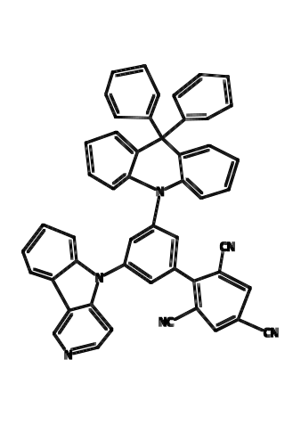 N#Cc1cc(C#N)c(-c2cc(N3c4ccccc4C(c4ccccc4)(c4ccccc4)c4ccccc43)cc(-n3c4ccccc4c4cnccc43)c2)c(C#N)c1